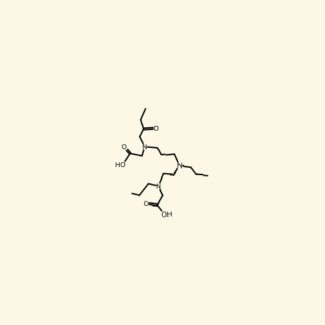 CCCN(CCCN(CC(=O)O)CC(=O)CC)CCN(CCC)CC(=O)O